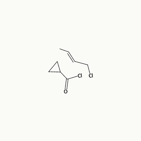 C/C=C/CCl.O=C(Cl)C1CC1